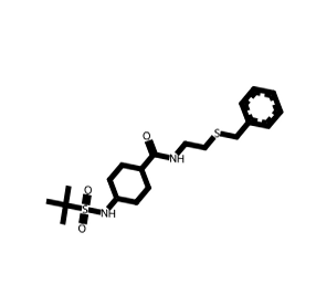 CC(C)(C)S(=O)(=O)NC1CCC(C(=O)NCCSCc2ccccc2)CC1